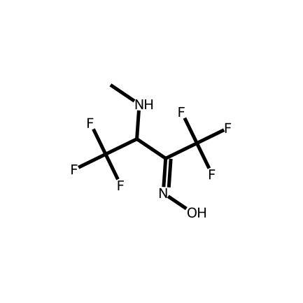 CNC(/C(=N/O)C(F)(F)F)C(F)(F)F